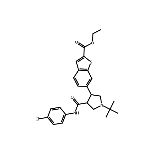 CCOC(=O)c1cc2ccc(C3CN(C(C)(C)C)CC3C(=O)Nc3ccc(Cl)cc3)cc2s1